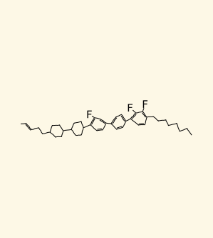 C/C=C/CCC1CCC(C2CCC(c3ccc(-c4ccc(-c5ccc(CCCCCCCC)c(F)c5F)cc4)cc3F)CC2)CC1